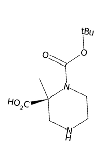 CC(C)(C)OC(=O)N1CCNC[C@@]1(C)C(=O)O